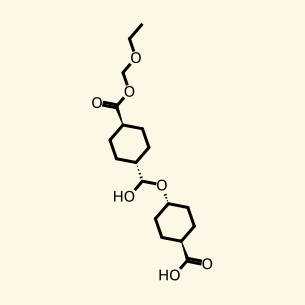 CCOCOC(=O)[C@H]1CC[C@H](C(O)O[C@H]2CC[C@H](C(=O)O)CC2)CC1